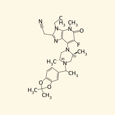 CCn1c(CC#N)nc2c(N3C[C@@H](C)N(C(C)c4ccc5c(c4)OC(C)(C)O5)C[C@@H]3C)c(F)c(=O)n(C)c21